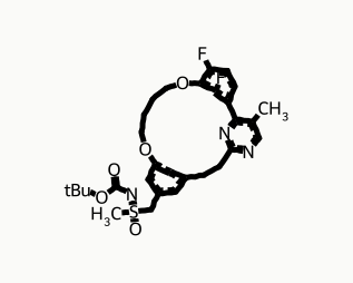 Cc1cnc2nc1-c1ccc(F)c(c1F)OCCCCOc1cc(cc(CS(C)(=O)=NC(=O)OC(C)(C)C)c1)CC2